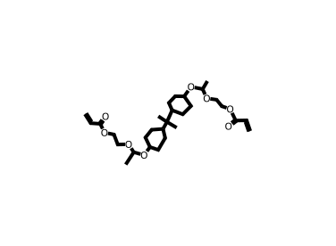 C=CC(=O)OCCOC(C)OC1CCC(C(C)(C)C2CCC(OC(C)OCCOC(=O)C=C)CC2)CC1